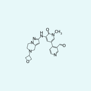 Cn1cc(-c2ccncc2C=O)cc(Nc2cc3n(n2)CCN(C2COC2)C3)c1=O